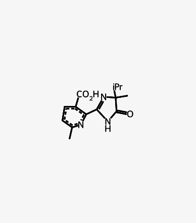 Cc1ccc(C(=O)O)c(C2=NC(C)(C(C)C)C(=O)N2)n1